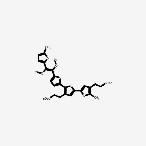 CCCCCCCCCCCCc1cc(-c2cc(CCCCCCCCCCCC)c(-c3ccc(/C(OCC)=C(\OCC)c4ccc(C)s4)s3)s2)sc1C